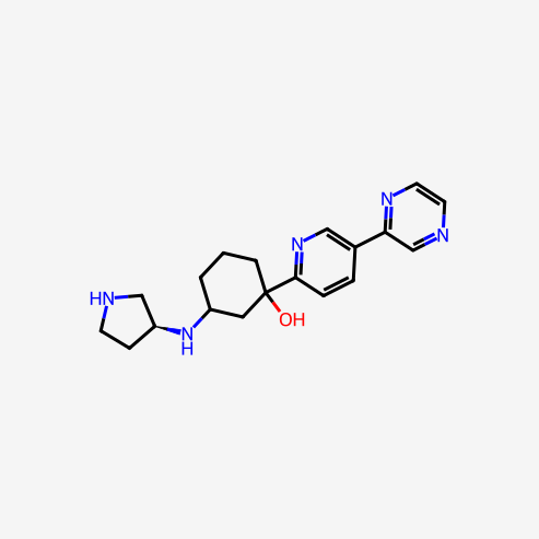 OC1(c2ccc(-c3cnccn3)cn2)CCCC(N[C@H]2CCNC2)C1